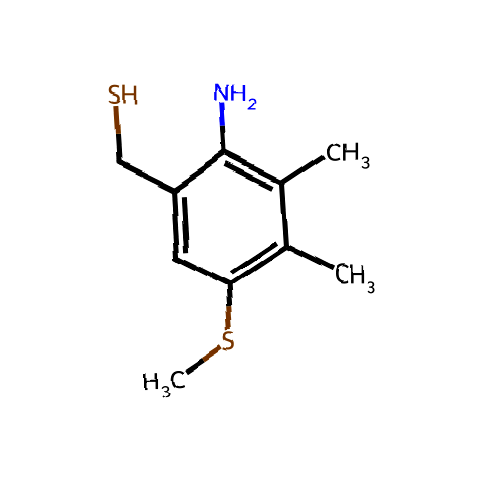 CSc1cc(CS)c(N)c(C)c1C